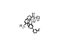 Cc1ccc2n(c1=O)[C@@H](Cc1cccc(-c3cccc(F)c3)c1)[C@@H](NC(=O)[C@@H]1CCCO1)CC2